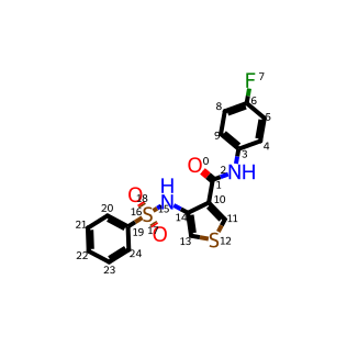 O=C(Nc1ccc(F)cc1)c1cscc1NS(=O)(=O)c1ccccc1